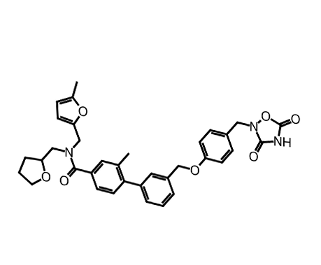 Cc1ccc(CN(CC2CCCO2)C(=O)c2ccc(-c3cccc(COc4ccc(Cn5oc(=O)[nH]c5=O)cc4)c3)c(C)c2)o1